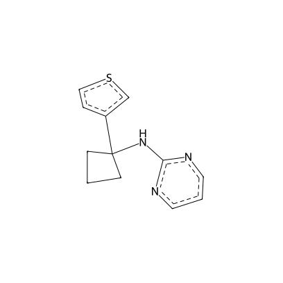 c1cnc(NC2(c3ccsc3)CCC2)nc1